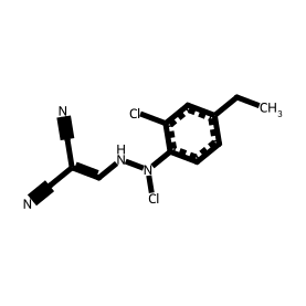 CCc1ccc(N(Cl)NC=C(C#N)C#N)c(Cl)c1